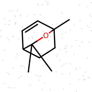 CC12C=CC(CC1)C(C)(C)O2